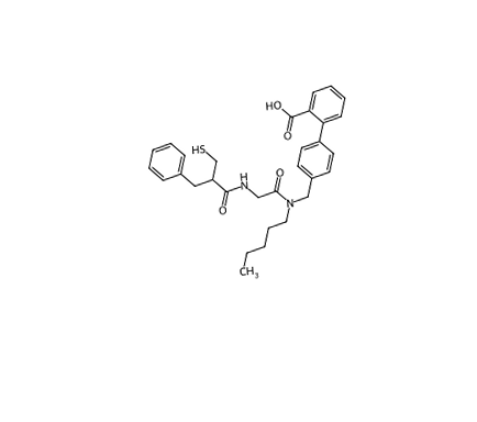 CCCCCN(Cc1ccc(-c2ccccc2C(=O)O)cc1)C(=O)CNC(=O)C(CS)Cc1ccccc1